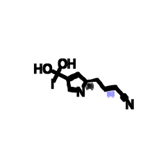 N#C/C=C/C[C@@H]1C=C(C(O)(O)I)C=N1